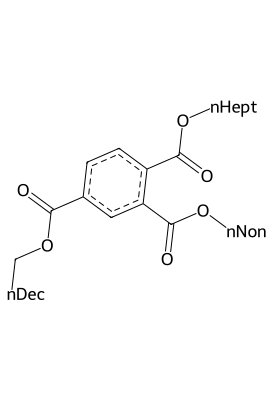 CCCCCCCCCCCOC(=O)c1ccc(C(=O)OCCCCCCC)c(C(=O)OCCCCCCCCC)c1